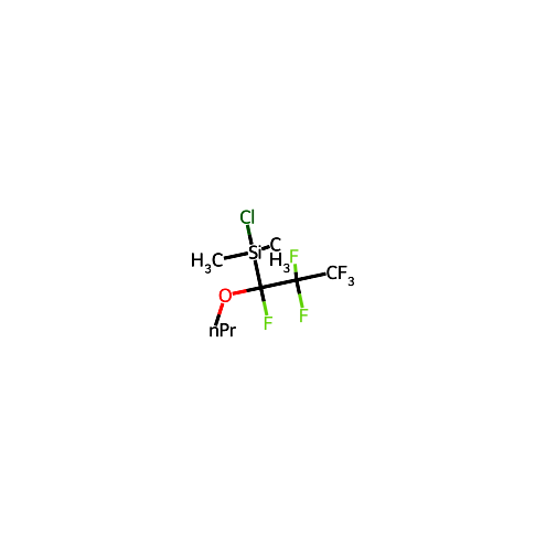 CCCOC(F)(C(F)(F)C(F)(F)F)[Si](C)(C)Cl